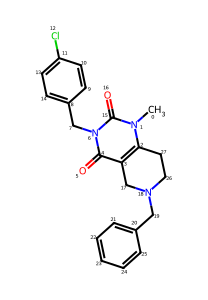 Cn1c2c(c(=O)n(Cc3ccc(Cl)cc3)c1=O)CN(Cc1ccccc1)CC2